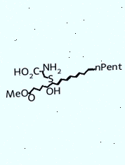 CCCCCC=CCC=CC=CC=C[C@H](SC[C@H](N)C(=O)O)[C@H](O)CCCC(=O)OC